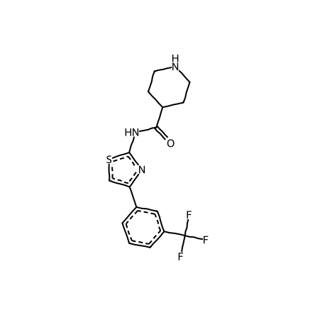 O=C(Nc1nc(-c2cccc(C(F)(F)F)c2)cs1)C1CCNCC1